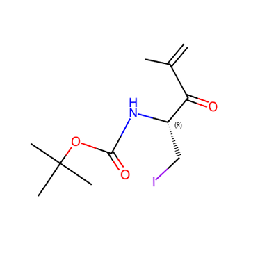 C=C(C)C(=O)[C@H](CI)NC(=O)OC(C)(C)C